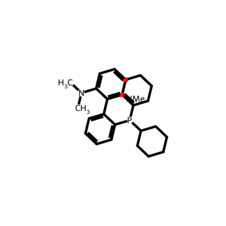 CNc1cccc(N(C)C)c1-c1ccccc1P(C1=CCCCC1)C1CCCCC1